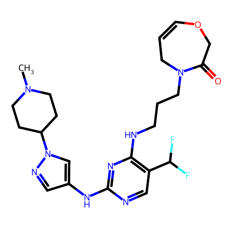 CN1CCC(n2cc(Nc3ncc(C(F)F)c(NCCCN4CC=COCC4=O)n3)cn2)CC1